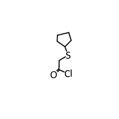 O=C(Cl)CSC1CCCC1